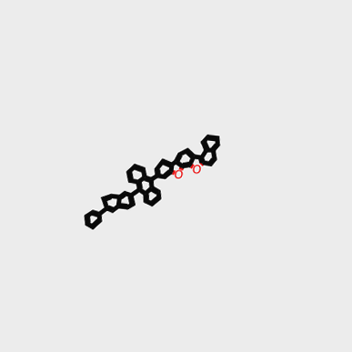 c1ccc(-c2ccc3cc(-c4c5ccccc5c(-c5ccc6c(c5)oc5c6ccc6c5oc5ccc7ccccc7c56)c5ccccc45)ccc3c2)cc1